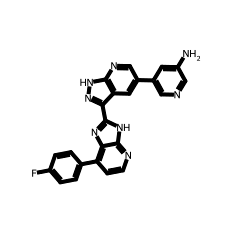 Nc1cncc(-c2cnc3[nH]nc(-c4nc5c(-c6ccc(F)cc6)ccnc5[nH]4)c3c2)c1